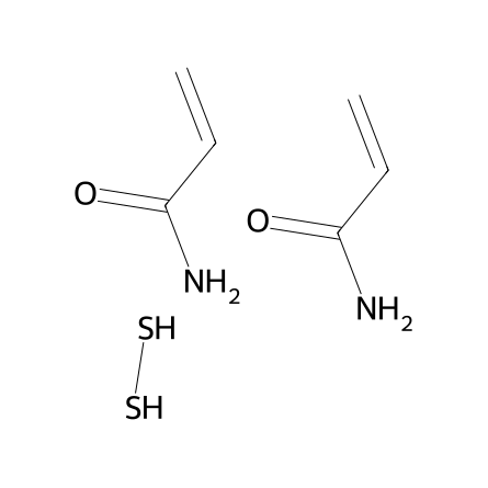 C=CC(N)=O.C=CC(N)=O.SS